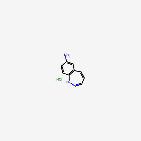 Cl.Nc1ccc2c(c1)C=CC=NN2